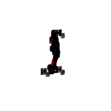 C=C(C)C(=O)OCCCCCCCOc1ccc(C(=O)Oc2ccc(-c3ccc(CCC)cn3)cc2)cc1